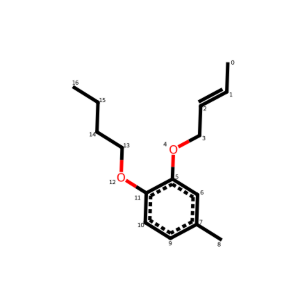 CC=CCOc1cc(C)ccc1OCCCC